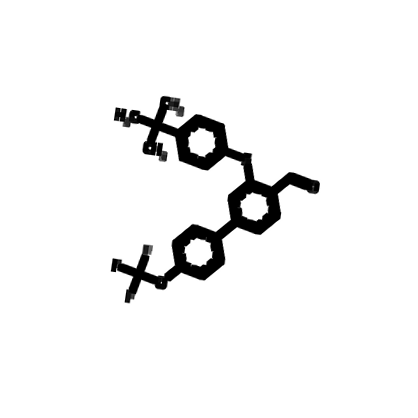 CC(C)(C)c1ccc(Sc2cc(-c3ccc(OC(F)(F)F)cc3)ccc2C=O)cc1